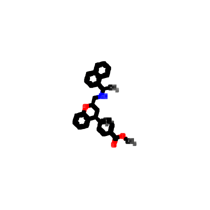 C=C(/C=C\C(=C/C)C(=O)OC)[C@@H]1C[C@H](CN[C@H](C)c2cccc3ccccc23)Oc2ccccc21